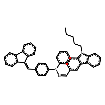 CCCCCn1c2ccccc2c2cc(/C=N\N(c3ccccc3)c3ccc(C=C4c5ccccc5-c5ccccc54)cc3)ccc21